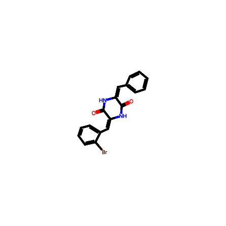 O=c1[nH]c(=Cc2ccccc2Br)c(=O)[nH]c1=Cc1ccccc1